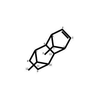 CC1C2C=CC1C1C3CCC(C3C)C21